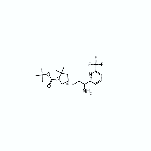 CC(C)(C)OC(=O)N1C[C@@H](CCC(N)c2cccc(C(F)(F)F)n2)CC1(C)C